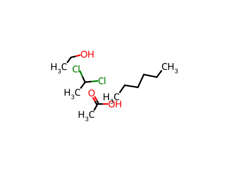 CC(=O)O.CC(Cl)Cl.CCCCCC.CCO